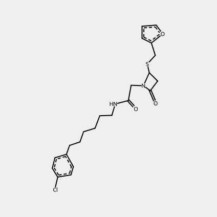 O=C(CN1C(=O)CC1SCc1ccco1)NCCCCCCc1ccc(Cl)cc1